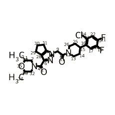 C[C@@H]1CN(C(=O)c2nn(CC(=O)N3CCC(c4cc(F)c(F)cc4Cl)CC3)c3c2CCC3)C[C@H](C)O1